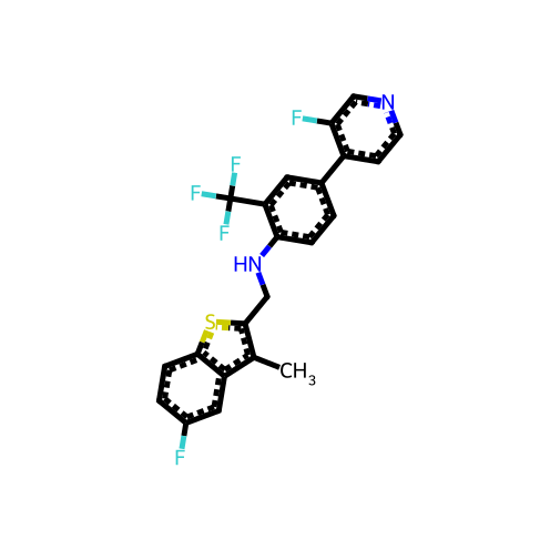 Cc1c(CNc2ccc(-c3ccncc3F)cc2C(F)(F)F)sc2ccc(F)cc12